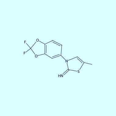 Cc1cn(-c2ccc3c(c2)OC(F)(F)O3)c(=N)s1